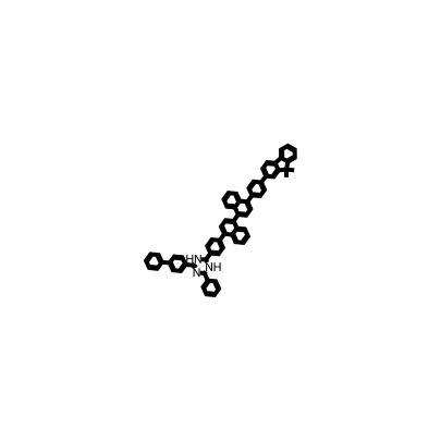 CC1(C)c2ccccc2-c2ccc(-c3ccc(-c4ccc(-c5ccc(-c6ccc(C7NC(c8ccc(-c9ccccc9)cc8)=NC(c8ccccc8)N7)cc6)c6ccccc56)c5ccccc45)cc3)cc21